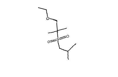 CCOCC(C)(C)S(=O)(=O)CC(C)C